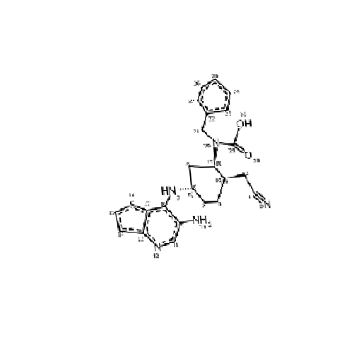 N#CC[C@H]1CC[C@H](Nc2c(N)cnc3ccsc23)C[C@H]1N(Cc1ccccc1)C(=O)O